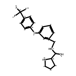 OC(NCc1cccc(Oc2ccc(C(F)(F)F)cc2)c1)C1CCCN1